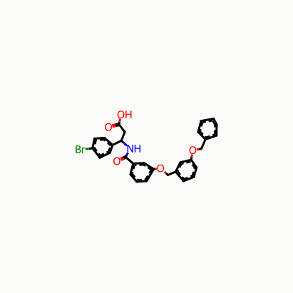 O=C(O)CC(NC(=O)c1cccc(OCc2cccc(OCc3ccccc3)c2)c1)c1ccc(Br)cc1